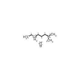 C[CH2][GeH2][CH2]CCN(C)C.[H-].[H-]